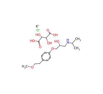 COCCc1ccc(OCC(O)CNC(C)C)cc1.O=C(O)C(O)C(O)C(=O)O.[Cl-].[K+]